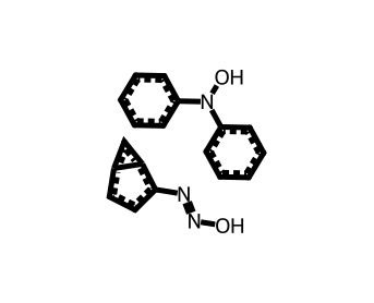 ON(c1ccccc1)c1ccccc1.ON=Nc1ccc2cc1-2